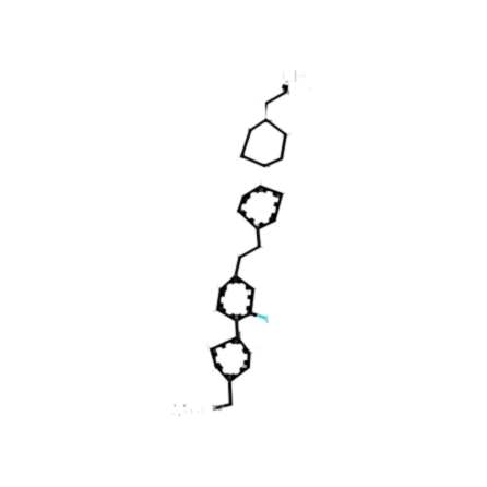 C=CC[C@H]1CC[C@H](c2ccc(CCc3ccc(-c4ccc(COC)cc4)c(F)c3)cc2)CC1